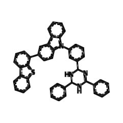 c1ccc(C2=NC(c3cccc(-n4c5ccccc5c5cc(-c6cccc7c6sc6ccccc67)ccc54)c3)NC(c3ccccc3)N2)cc1